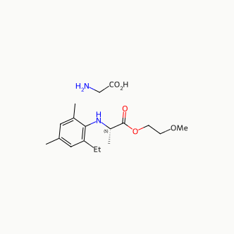 CCc1cc(C)cc(C)c1N[C@@H](C)C(=O)OCCOC.NCC(=O)O